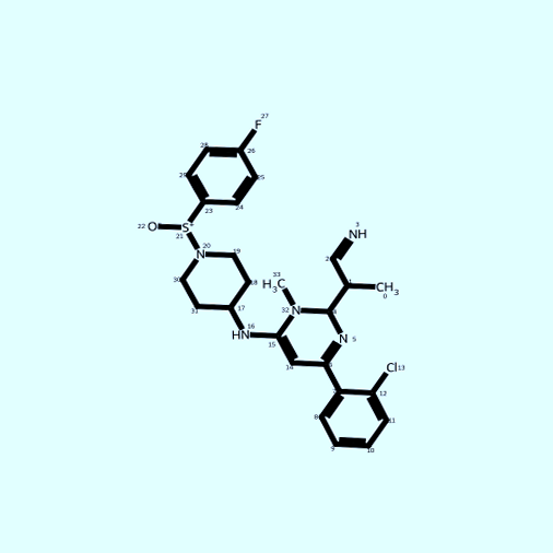 CC(C=N)C1N=C(c2ccccc2Cl)C=C(NC2CCN([S+]([O-])c3ccc(F)cc3)CC2)N1C